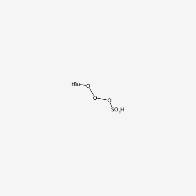 CC(C)(C)OOOS(=O)(=O)O